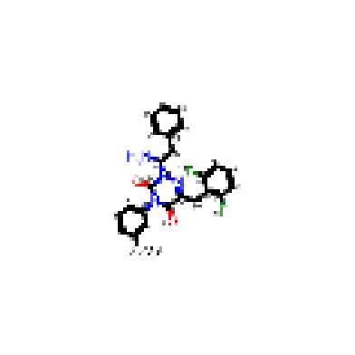 COc1cccc(-n2c(=O)c(Cc3c(F)cccc3F)nn(C(N)Cc3ccccc3)c2=O)c1